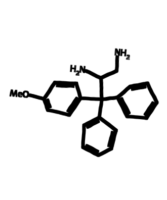 COc1ccc(C(c2ccccc2)(c2ccccc2)C(N)CN)cc1